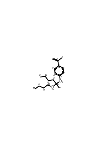 C=C(C)c1ccc(OC(C)(CCCC)OCCCC)cc1